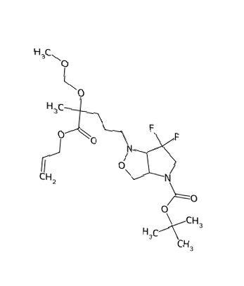 C=CCOC(=O)C(C)(CCCN1OCC2C1C(F)(F)CN2C(=O)OC(C)(C)C)OCOC